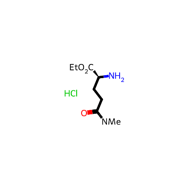 CCOC(=O)[C@@H](N)CCC(=O)NC.Cl